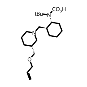 C=CCOC[C@@H]1CCCN(C[C@@H]2CCCC[C@H]2N(C(=O)O)C(C)(C)C)C1